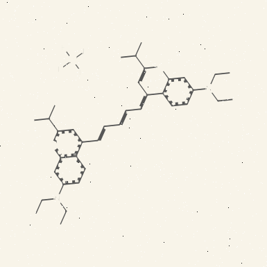 CCN(CC)c1ccc2c(c1)OC(C(C)C)=C\C2=C/C=C/C=C/c1cc(C(C)C)[o+]c2cc(N(CC)CC)ccc12.F[B-](F)(F)F